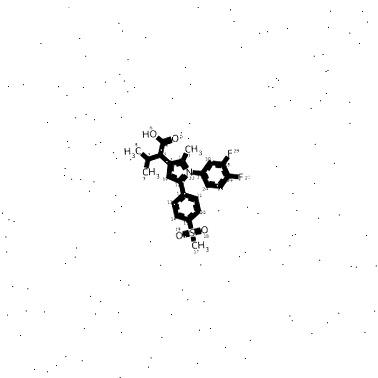 Cc1c(C(C(=O)O)C(C)C)cc(-c2ccc(S(C)(=O)=O)cc2)n1-c1ccc(F)c(F)c1